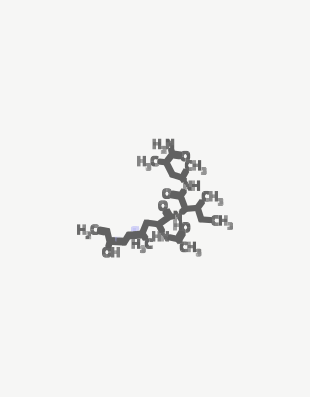 C=C/C(O)=C\C=C(/C)CC(NC(C)=O)C(=O)NC(C(=O)NC(C)CC(C)C(N)=O)C(C)CC